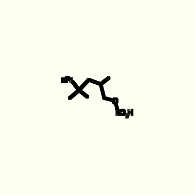 CCCC(C)(C)CC(C)COS(=O)(=O)O